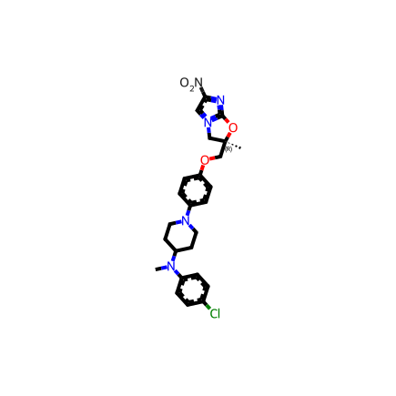 CN(c1ccc(Cl)cc1)C1CCN(c2ccc(OC[C@@]3(C)Cn4cc([N+](=O)[O-])nc4O3)cc2)CC1